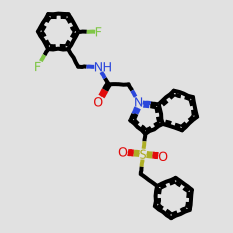 O=C(Cn1cc(S(=O)(=O)Cc2ccccc2)c2ccccc21)NCc1c(F)cccc1F